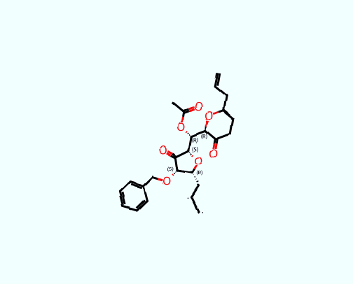 [CH2][CH]C[C@H]1O[C@@H]([C@H](OC(C)=O)[C@H]2OC(CC=C)CCC2=O)C(=O)[C@H]1OCc1ccccc1